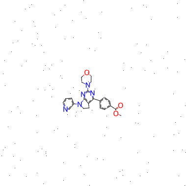 COC(=O)c1ccc(-c2nc(N3CCOCC3)nc3c2CCN3c2cccnc2)cc1